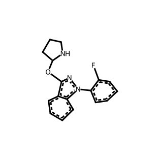 Fc1ccccc1-n1nc(OC2CCCN2)c2ccccc21